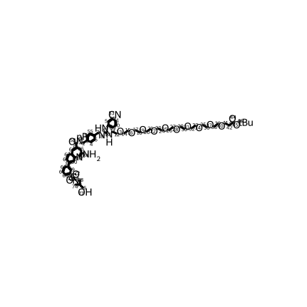 CCCN(Cc1ccc(C/N=C(/NCCOCCOCCOCCOCCOCCOCCOCCOCCOCCOCCC(=O)OC(C)(C)C)Nc2cccc(C#N)c2)cc1)C(=O)C1=Cc2ccc(-c3cccc(S(=O)(=O)N4CC(CO)C4)c3)cc2N=C(N)C1